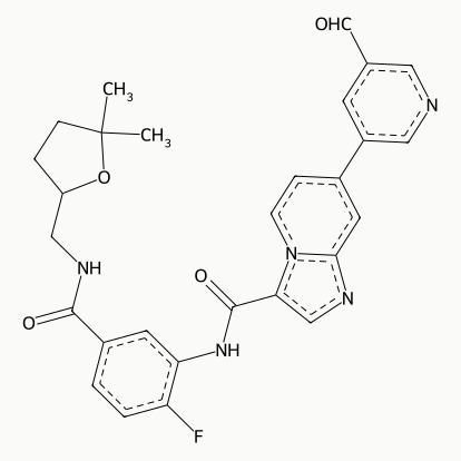 CC1(C)CCC(CNC(=O)c2ccc(F)c(NC(=O)c3cnc4cc(-c5cncc(C=O)c5)ccn34)c2)O1